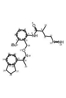 CCC(C)c1cccc(NC(=O)C(C)CCN=N)c1CO/N=C(/C)c1cccc2c1CCC2